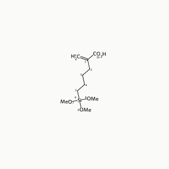 C=C(CCCC[Si](OC)(OC)OC)C(=O)O